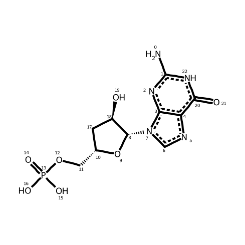 Nc1nc2c(ncn2[C@@H]2O[C@H](COP(=O)(O)O)C[C@H]2O)c(=O)[nH]1